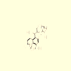 CCC(NC(C)C)C(O)c1ccc(O)c2c1ccc(=O)n2C